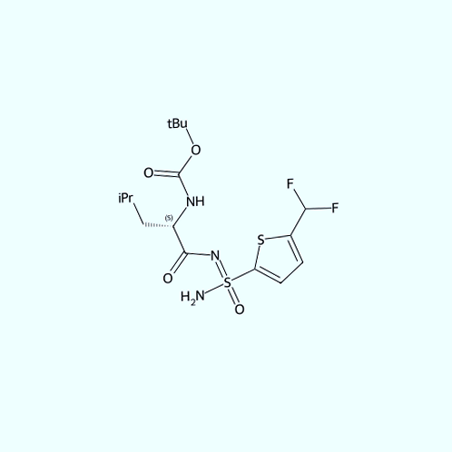 CC(C)C[C@H](NC(=O)OC(C)(C)C)C(=O)N=S(N)(=O)c1ccc(C(F)F)s1